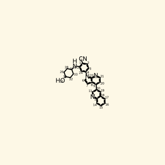 N#Cc1ccc(-n2ccc3c(-c4cnc5ccccc5c4)ccnc32)cc1NC1CCC(O)CC1